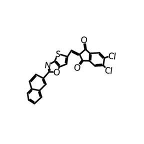 O=C1C(=Cc2cc3oc(-c4ccc5ccccc5c4)nc3s2)C(=O)c2cc(Cl)c(Cl)cc21